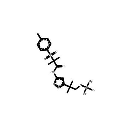 Cc1ccc(S(=O)(=O)C(C)(C)C(=O)Nc2cc(C(C)(C)CO[Si](C(C)C)(C(C)C)C(C)C)no2)cc1